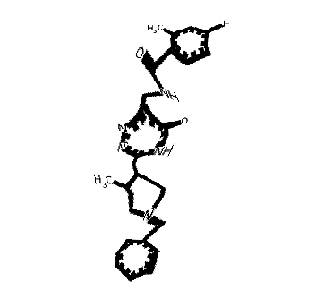 Cc1cc(F)ccc1C(=O)NCc1nnc(C2CN(Cc3ccccc3)CC2C)[nH]c1=O